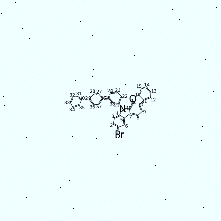 Brc1ccc2c(c1)c1ccc3c4ccccc4oc3c1n2-c1cccc(-c2ccc(-c3ccccc3)cc2)c1